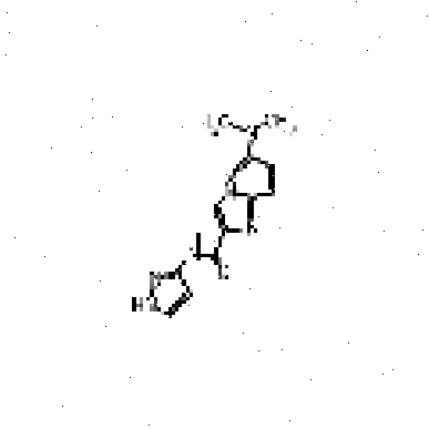 CN(C)c1ccc2nc(C(=O)Nc3cc[nH]n3)cn2c1